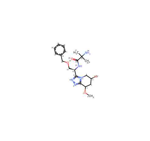 COC1CC(Br)Cn2c1nnc2[C@@H](COCc1ccccc1)NC(=O)C(C)(C)N